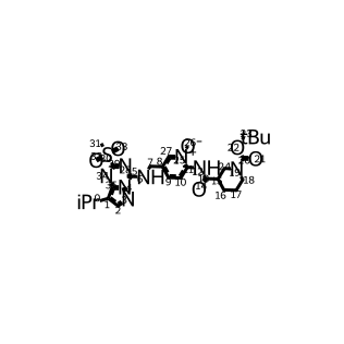 CC(C)c1cnn2c(NCc3ccc(NC(=O)C4CCCN(C(=O)OC(C)(C)C)C4)[n+]([O-])c3)nc(S(C)(=O)=O)nc12